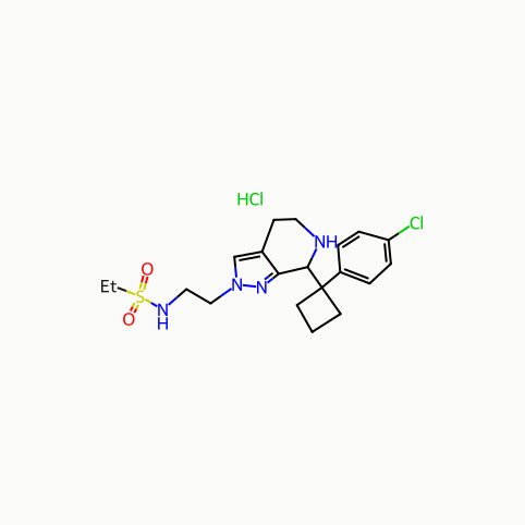 CCS(=O)(=O)NCCn1cc2c(n1)C(C1(c3ccc(Cl)cc3)CCC1)NCC2.Cl